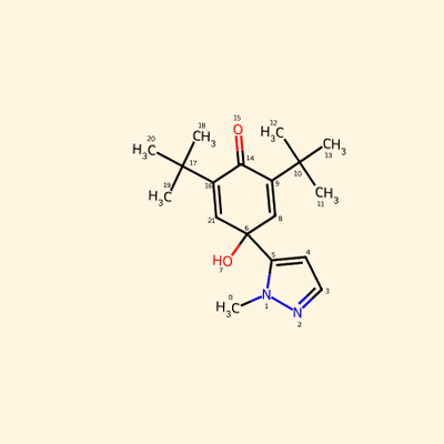 Cn1nccc1C1(O)C=C(C(C)(C)C)C(=O)C(C(C)(C)C)=C1